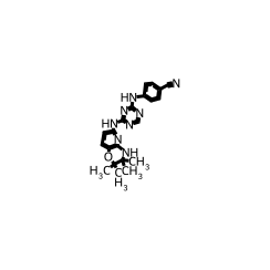 CC1(C)Nc2nc(Nc3ncnc(Nc4ccc(C#N)cc4)n3)ccc2OC1(C)C